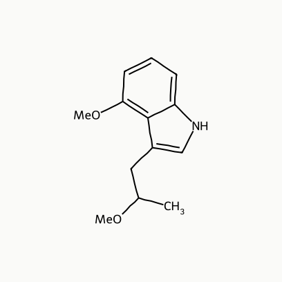 COc1cccc2[nH]cc(CC(C)OC)c12